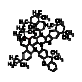 Cc1cc2c3c(c1)N(c1ccc4c(c1)C(C)(C)CCC4(C)C)c1c(sc4cc5c(cc14)C(C)(C)CCC5(C)C)B3c1cc3c(cc1N2c1ccc(C(C)(C)C)cc1-c1ccc(C(C)(C)C)cc1)Oc1ccccc1C3(C)C